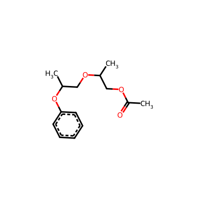 CC(=O)OCC(C)OCC(C)Oc1ccccc1